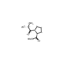 COC(=O)[C@@H]1CCCN1C(=O)[C@@H](N)C(C)C